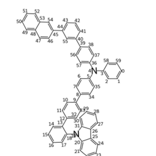 c1ccc(N(c2ccc(-c3ccc(-c4ccccc4-n4c5ccccc5c5ccccc54)cc3)cc2)c2ccc(-c3cccc(-c4ccc5ccccc5c4)c3)cc2)cc1